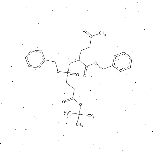 CC(=O)CCC(CP(=O)(CCC(=O)OC(C)(C)C)OCc1ccccc1)C(=O)OCc1ccccc1